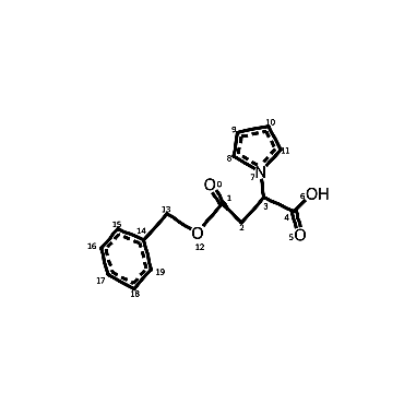 O=C(CC(C(=O)O)n1cccc1)OCc1ccccc1